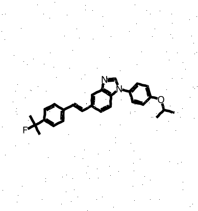 CC(C)Oc1ccc(-n2cnc3cc(C=Cc4ccc(C(C)(C)F)cc4)ccc32)cc1